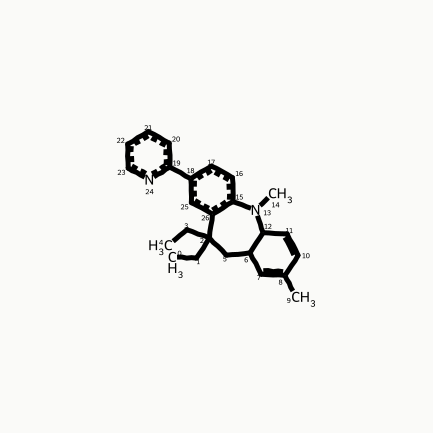 CCC1(CC)CC2C=C(C)C=CC2N(C)c2ccc(-c3ccccn3)cc21